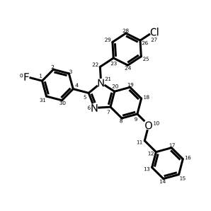 Fc1ccc(-c2nc3cc(OCc4ccccc4)ccc3n2Cc2ccc(Cl)cc2)cc1